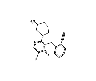 N#Cc1ccccc1Cn1c(N2CCCC(N)C2)ncc(F)c1=O